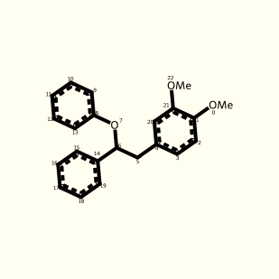 COc1ccc([CH]C(Oc2ccccc2)c2ccccc2)cc1OC